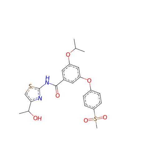 CC(C)Oc1cc(Oc2ccc(S(C)(=O)=O)cc2)cc(C(=O)Nc2nc(C(C)O)cs2)c1